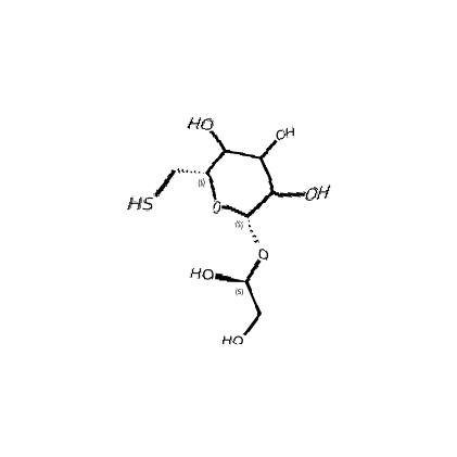 OC[C@@H](O)O[C@@H]1O[C@H](CS)C(O)C(O)C1O